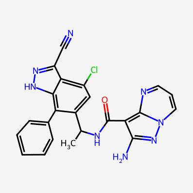 CC(NC(=O)c1c(N)nn2cccnc12)c1cc(Cl)c2c(C#N)n[nH]c2c1-c1ccccc1